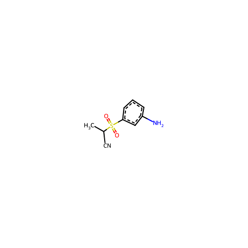 CC(C#N)S(=O)(=O)c1cccc(N)c1